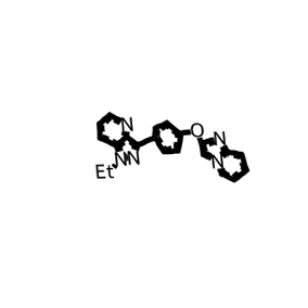 CCn1nc(-c2ccc(Oc3cn4ccccc4n3)cc2)c2ncccc21